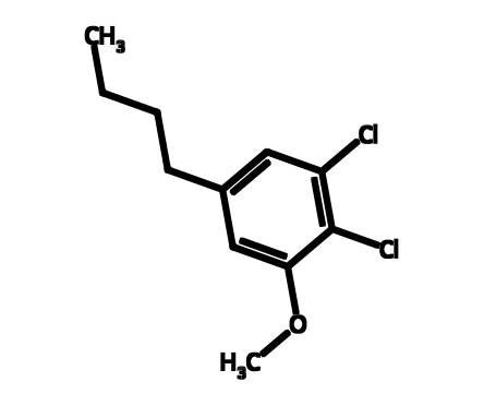 CCCCc1cc(Cl)c(Cl)c(OC)c1